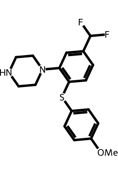 COc1ccc(Sc2ccc(C(F)F)cc2N2CCNCC2)cc1